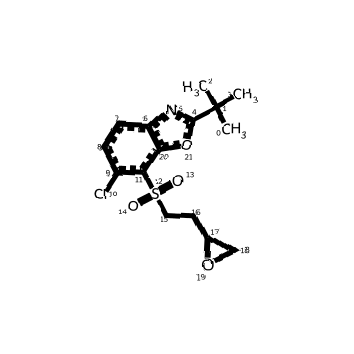 CC(C)(C)c1nc2ccc(Cl)c(S(=O)(=O)CCC3CO3)c2o1